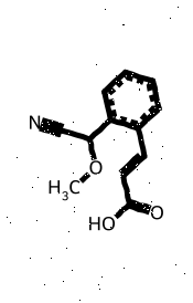 COC(C#N)c1ccccc1C=CC(=O)O